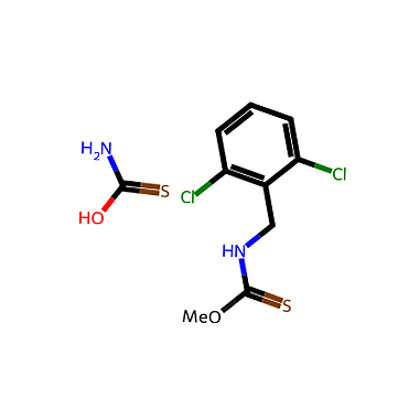 COC(=S)NCc1c(Cl)cccc1Cl.NC(O)=S